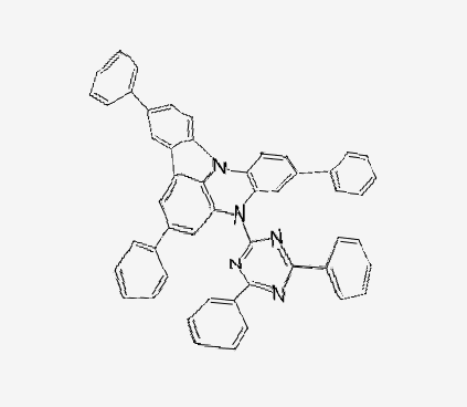 c1ccc(-c2ccc3c(c2)N(c2nc(-c4ccccc4)nc(-c4ccccc4)n2)c2cc(-c4ccccc4)cc4c5cc(-c6ccccc6)ccc5n-3c24)cc1